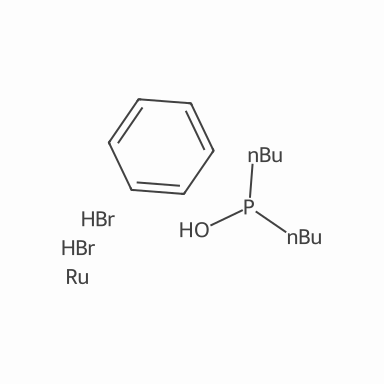 Br.Br.CCCCP(O)CCCC.[Ru].c1ccccc1